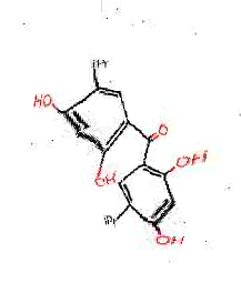 CC(C)c1cc(C(=O)c2cc(C(C)C)c(O)cc2O)c(O)cc1O